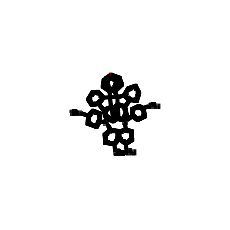 CC(C)(C)c1ccc(N(c2ccc(C(C)(C)C)cc2)c2ccc3c(c2)C(c2ccccc2)(C2(c4ccccc4)c4ccccc4-c4ccc(N(c5ccc(C(C)(C)C)cc5)c5ccc(C(C)(C)C)cc5)cc42)c2ccccc2-3)cc1